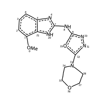 COc1cccc2nc(Nc3nnc(N4CCOCC4)o3)[nH]c12